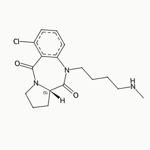 CNCCCCN1C(=O)[C@@H]2CCCN2C(=O)c2c(Cl)cccc21